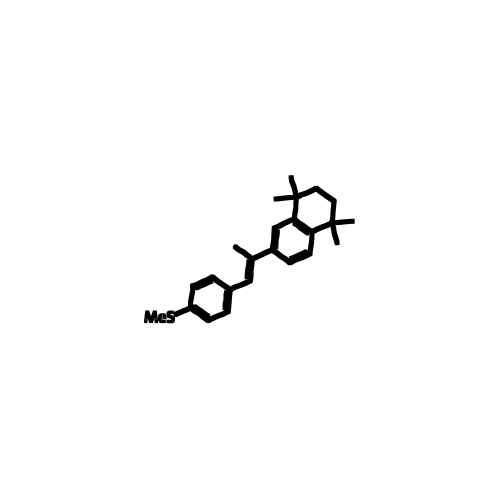 CSc1ccc(C=C(C)c2ccc3c(c2)C(C)(C)CCC3(C)C)cc1